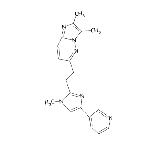 Cc1nc2ccc(CCc3nc(-c4cccnc4)cn3C)nn2c1C